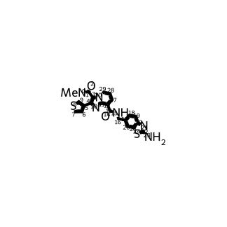 CNC(=O)c1c(-c2ccsc2)nc2c(C(=O)NCc3ccc4nc(N)sc4c3)cccn12